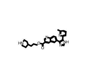 Cc1cccc(-c2[nH]cnc2-c2ccc3ncc(C(=O)OCCCC4CCNCC4)cc3c2)n1